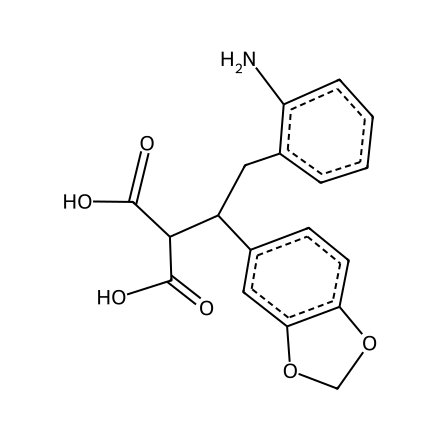 Nc1ccccc1CC(c1ccc2c(c1)OCO2)C(C(=O)O)C(=O)O